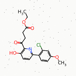 CCOC(=O)CCC(=O)c1nc(-c2ccc(OC)cc2Cl)ccc1O